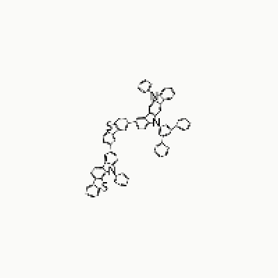 c1ccc(-c2cc(-c3ccccc3)cc(-n3c4ccc(-c5ccc6sc7ccc(-c8ccc9c(c8)c8ccc%10c%11ccccc%11sc%10c8n9-c8ccccc8)cc7c6c5)cc4c4cc5c(cc43)c3ccccc3n5-c3ccccc3)c2)cc1